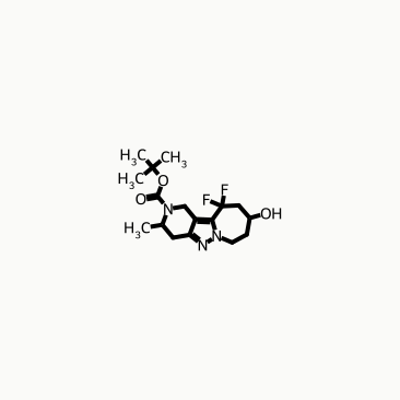 CC1Cc2nn3c(c2CN1C(=O)OC(C)(C)C)C(F)(F)CC(O)CC3